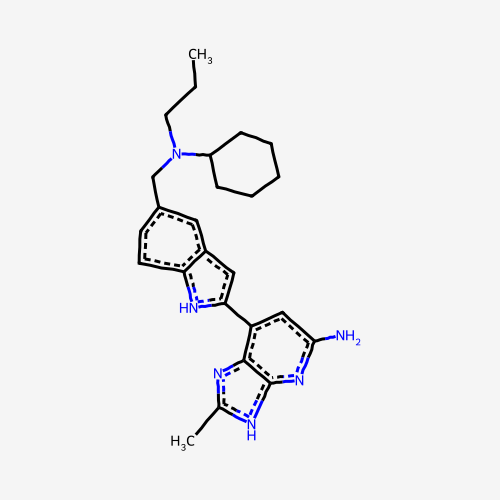 CCCN(Cc1ccc2[nH]c(-c3cc(N)nc4[nH]c(C)nc34)cc2c1)C1CCCCC1